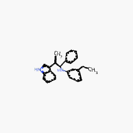 C=C(c1c[nH]c2ccccc12)C(Nc1cccc(CC)c1)c1ccccc1